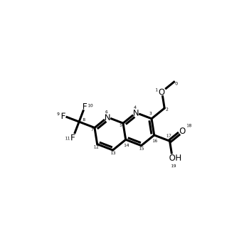 COCc1nc2nc(C(F)(F)F)ccc2cc1C(=O)O